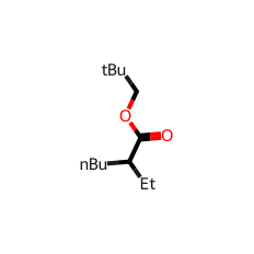 CCCCC(CC)C(=O)OCC(C)(C)C